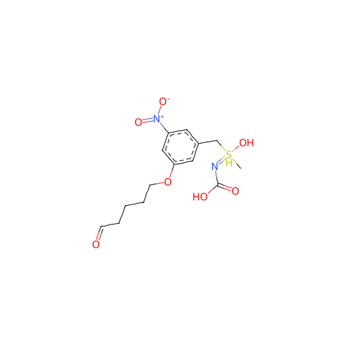 C[SH](O)(Cc1cc(OCCCCC=O)cc([N+](=O)[O-])c1)=NC(=O)O